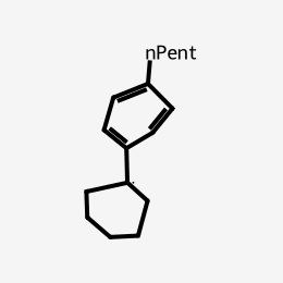 CCCCCc1ccc([C]2CCCCC2)cc1